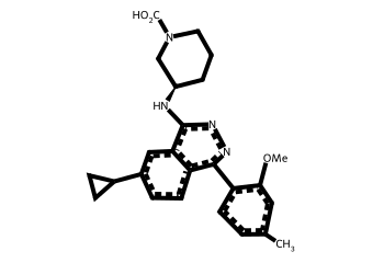 COc1cc(C)ccc1-c1nnc(N[C@@H]2CCCN(C(=O)O)C2)c2cc(C3CC3)ccc12